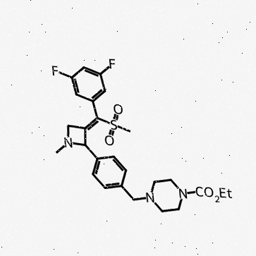 CCOC(=O)N1CCN(Cc2ccc(C3C(=C(c4cc(F)cc(F)c4)S(C)(=O)=O)CN3C)cc2)CC1